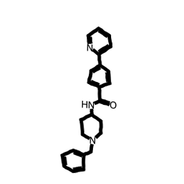 O=C(NC1CCN(Cc2ccccc2)CC1)c1ccc(-c2ccccn2)cc1